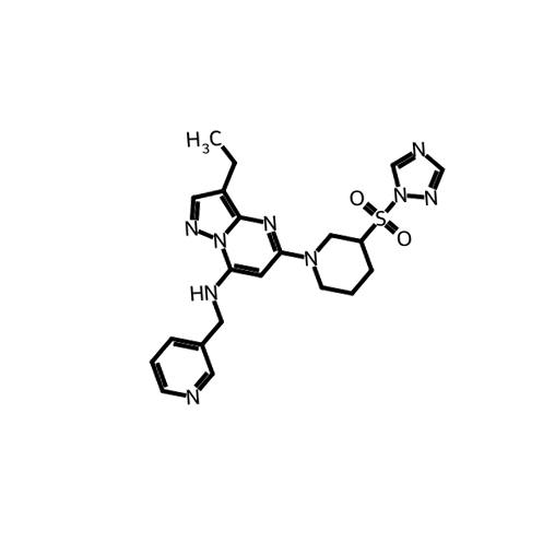 CCc1cnn2c(NCc3cccnc3)cc(N3CCCC(S(=O)(=O)n4cncn4)C3)nc12